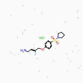 Cl.NC/C=C(\F)COc1ccc(S(=O)(=O)N2CCCC2)cc1